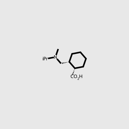 CC(C)N(C)C[C@@H]1CCCC[C@@H]1C(=O)O